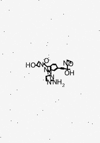 CC(O)(C#Cc1ccc2c(C(=O)N3CC(O)C3)nn(-c3ccnc(N)n3)c2c1)c1ncco1